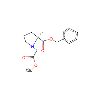 CC(C)(C)OC(=O)CN1CCC[C@@]1(C)C(=O)OCc1ccccc1